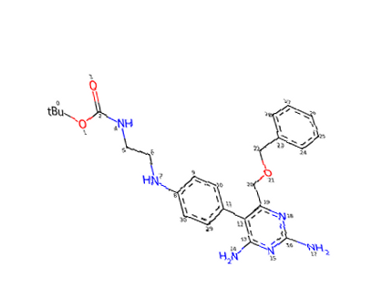 CC(C)(C)OC(=O)NCCNc1ccc(-c2c(N)nc(N)nc2COCc2ccccc2)cc1